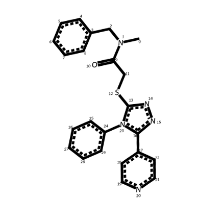 CN(Cc1ccccc1)C(=O)CSc1nnc(-c2ccncc2)n1-c1ccccc1